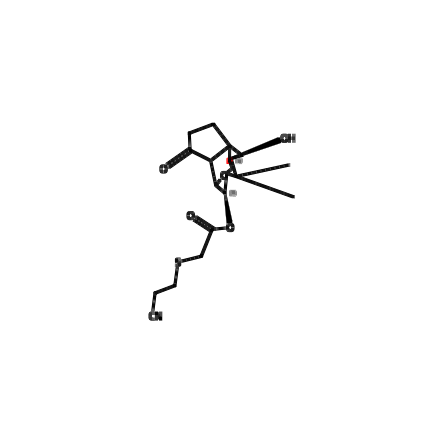 CC1(C)C[C@@H](OC(=O)CSCCC#N)C2CCCC3(CCC(=O)C23)C[C@@H]1O